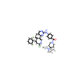 CN(C)C1(C)CCN(C(=O)c2ccc(Nc3ncc4c(n3)C3=CN=C(Cl)C=C(c5c(F)cccc5F)C3=CC4)cc2)CC1